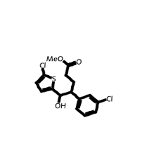 COC(=O)CCC(c1cccc(Cl)c1)C(O)c1ccc(Cl)s1